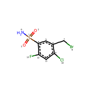 NS(=O)(=O)c1cc(CBr)c(Cl)cc1F